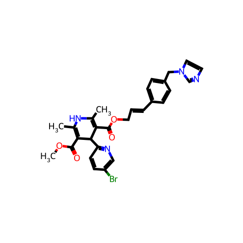 COC(=O)C1=C(C)NC(C)=C(C(=O)OCC=Cc2ccc(Cn3ccnc3)cc2)C1c1ccc(Br)cn1